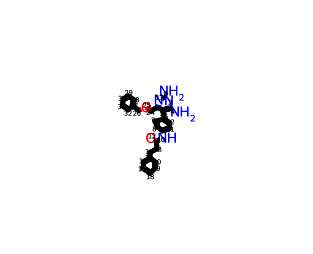 Nc1nc(N)c(-c2ccc(NC(=O)CCc3ccccc3)cc2)c(COCc2ccccc2)n1